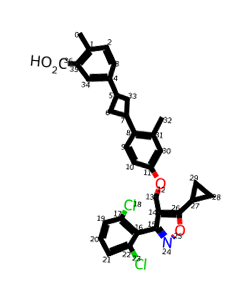 Cc1ccc(C2CC(c3ccc(OCc4c(-c5c(Cl)cccc5Cl)noc4C4CC4)cc3C)C2)cc1C(=O)O